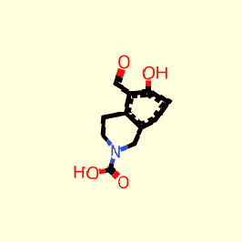 O=Cc1c(O)ccc2c1CCN(C(=O)O)C2